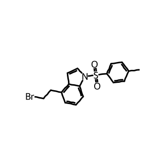 Cc1ccc(S(=O)(=O)n2ccc3c(CCBr)cccc32)cc1